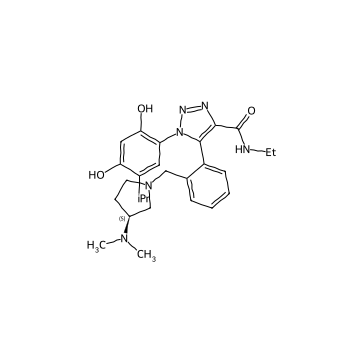 CCNC(=O)c1nnn(-c2cc(C(C)C)c(O)cc2O)c1-c1ccccc1CN1CC[C@H](N(C)C)C1